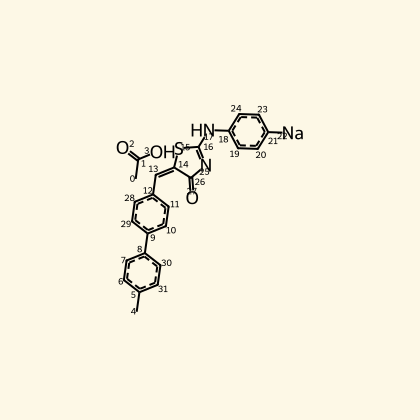 CC(=O)O.Cc1ccc(-c2ccc(C=C3SC(Nc4cc[c]([Na])cc4)=NC3=O)cc2)cc1